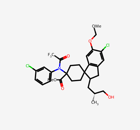 COCOc1cc2c(cc1Cl)CC(C[C@@H](C)CO)C21CCC(C(=O)OC)(N(C(=O)C(F)(F)F)c2cccc(Cl)c2)CC1